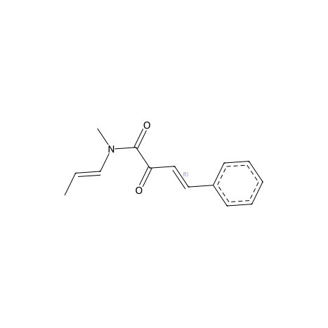 CC=CN(C)C(=O)C(=O)/C=C/c1ccccc1